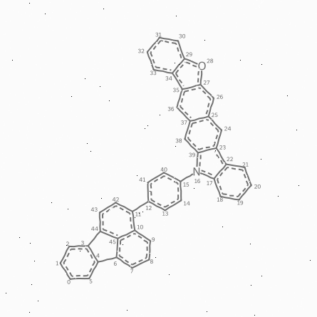 c1ccc2c(c1)-c1cccc3c(-c4ccc(-n5c6ccccc6c6cc7cc8oc9ccccc9c8cc7cc65)cc4)ccc-2c13